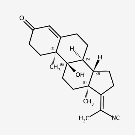 [C-]#[N+]C(C)=C1CC[C@H]2[C@@H]3CCC4=CC(=O)CC[C@]4(C)[C@@]3(O)CC[C@]12C